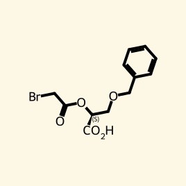 O=C(CBr)O[C@@H](COCc1ccccc1)C(=O)O